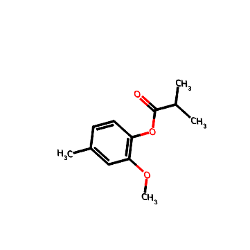 COc1cc(C)ccc1OC(=O)C(C)C